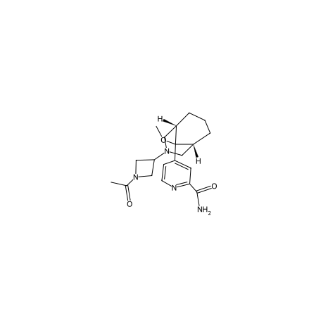 COC1(c2ccnc(C(N)=O)c2)[C@@H]2CCC[C@H]1CN(C1CN(C(C)=O)C1)C2